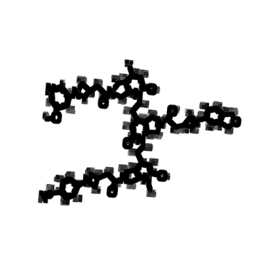 COc1cncc(N2CC(CC(=O)N3Cc4c(C)cc(=O)n(CCc5cc(=O)n(CCc6cc(=O)n(C)c7c6CN(C(=O)CC6CN(c8ccc(C#N)cc8)C6)C7)c6c5CN(C(=O)CC5CN(c7ccc8c(c7)COC8)C5)C6)c4C3)C2)c1